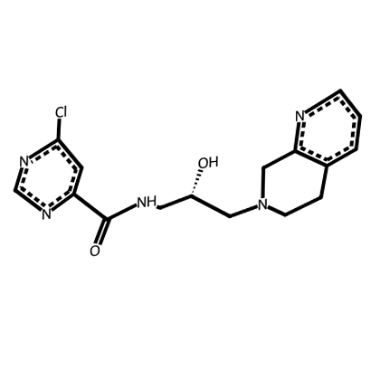 O=C(NC[C@H](O)CN1CCc2cccnc2C1)c1cc(Cl)ncn1